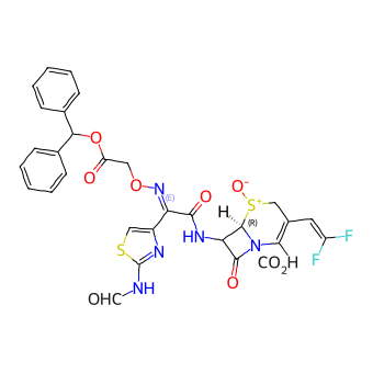 O=CNc1nc(/C(=N\OCC(=O)OC(c2ccccc2)c2ccccc2)C(=O)NC2C(=O)N3C(C(=O)O)=C(C=C(F)F)C[S+]([O-])[C@H]23)cs1